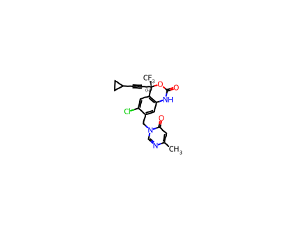 Cc1cc(=O)n(Cc2cc3c(cc2Cl)[C@@](C#CC2CC2)(C(F)(F)F)OC(=O)N3)cn1